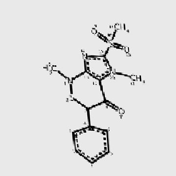 CN1SC(c2ccccc2)C(=O)c2c1nc(S(C)(=O)=O)n2C